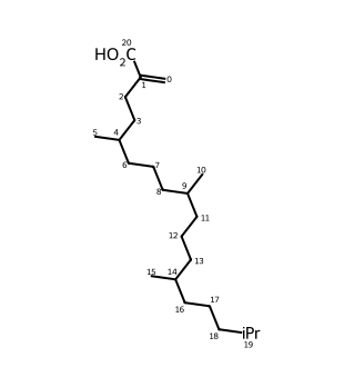 C=C(CCC(C)CCCC(C)CCCC(C)CCCC(C)C)C(=O)O